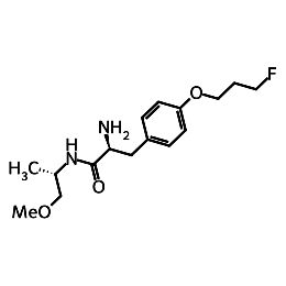 COC[C@H](C)NC(=O)[C@@H](N)Cc1ccc(OCCCF)cc1